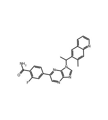 Cc1cc2ncccc2cc1C(C)n1cnc2ncc(-c3ccc(C(N)=O)c(F)c3)nc21